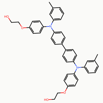 Cc1cccc(N(c2ccc(OCCO)cc2)c2ccc(-c3ccc(N(c4ccc(OCCO)cc4)c4cccc(C)c4)cc3)cc2)c1